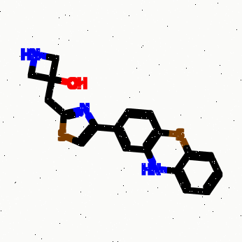 OC1(Cc2nc(-c3ccc4c(c3)Nc3ccccc3S4)cs2)CNC1